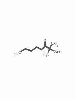 CCCCCC(=O)C(C)(C)[NH]